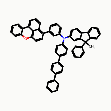 CC1(c2ccccc2)c2ccccc2-c2ccc(N(c3ccc(-c4ccc(-c5ccccc5)cc4)cc3)c3cccc(-c4ccc5c6c(cccc46)-c4ccccc4O5)c3)cc21